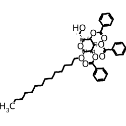 CCCCCCCCCCCCCCO[C@H]1O[C@H]([CH]O)[C@@H](OC(=O)c2ccccc2)[C@H](OC(=O)c2ccccc2)[C@H]1OC(=O)c1ccccc1